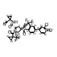 N#CC1(NC(=O)[C@@H]2C[C@@H](S(=O)(=O)c3ccc(-c4cc[n+]([O-])c(Cl)c4)cc3C(F)(F)F)CN2C(=O)C2(C(F)(F)F)CC2)CC1